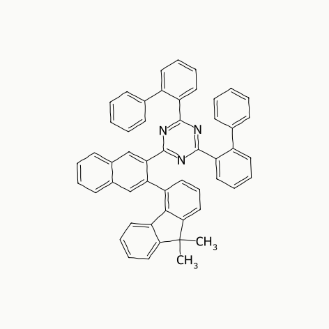 CC1(C)c2ccccc2-c2c(-c3cc4ccccc4cc3-c3nc(-c4ccccc4-c4ccccc4)nc(-c4ccccc4-c4ccccc4)n3)cccc21